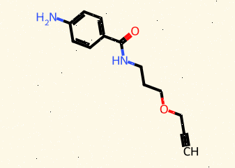 C#CCOCCCNC(=O)c1ccc(N)cc1